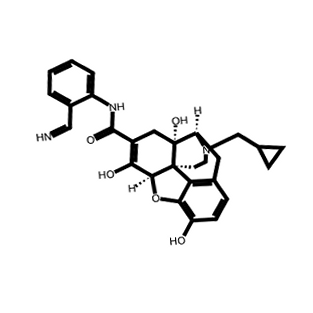 N=Cc1ccccc1NC(=O)C1=C(O)[C@@H]2Oc3c(O)ccc4c3[C@@]23CCN(CC2CC2)[C@H](C4)[C@]3(O)C1